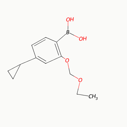 CCOCOc1cc(C2CC2)ccc1B(O)O